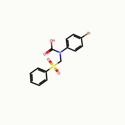 O=C(O)N(CS(=O)(=O)c1ccccc1)c1ccc(Br)cc1